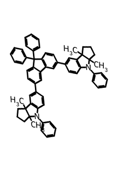 CC12CCCC1(C)N(c1ccccc1)c1ccc(-c3ccc4c(c3)-c3cc(-c5ccc6c(c5)C5(C)CCCC5(C)N6c5ccccc5)ccc3C4(c3ccccc3)c3ccccc3)cc12